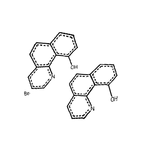 Oc1cccc2ccc3cccnc3c12.Oc1cccc2ccc3cccnc3c12.[Be]